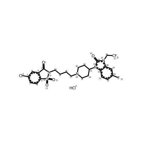 Cl.O=C1c2cc(Cl)ccc2S(=O)(=O)N1CCCCN1CCC(n2c(=O)n(CC(F)(F)F)c3cc(F)ccc32)CC1